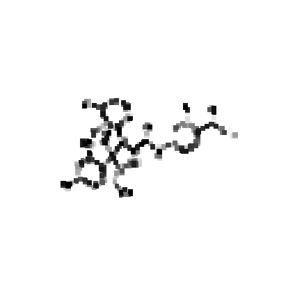 CC(C)(C)C[C@H]1N[C@H](C(=O)Nc2ccc(C(N)=O)c(Cl)c2)[C@H](c2cccc(Cl)c2F)C12C(=O)Nc1cc(Cl)ccc12